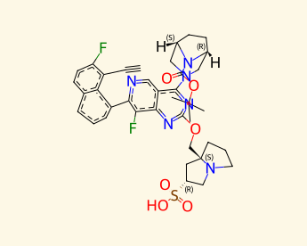 C#Cc1c(F)ccc2cccc(-c3ncc4c(N5C[C@H]6CC[C@@H](C5)N6C(=O)OC(C)(C)C)nc(OC[C@@]56CCCN5C[C@H](S(=O)(=O)O)C6)nc4c3F)c12